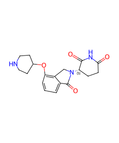 O=C1CC[C@H](N2Cc3c(OC4CCNCC4)cccc3C2=O)C(=O)N1